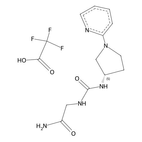 NC(=O)CNC(=O)N[C@H]1CCN(c2ccccn2)C1.O=C(O)C(F)(F)F